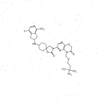 Cc1ncc(F)c2c1CC(NC1CCC3(CC1)CN(c1cnc4c(n1)N(COCC[Si](C)(C)C)C(=O)CO4)C(=O)O3)C2